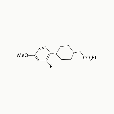 CCOC(=O)CC1CCC(c2ccc(OC)cc2F)CC1